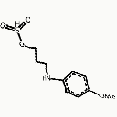 COc1ccc(NCCCO[SH](=O)=O)cc1